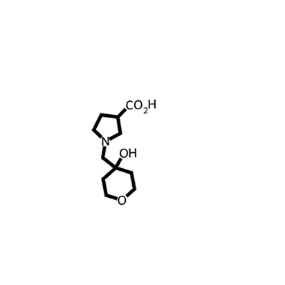 O=C(O)C1CCN(CC2(O)CCOCC2)C1